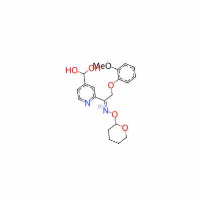 COc1ccccc1OC/C(=N\OC1CCCCO1)c1cc(C(O)O)ccn1